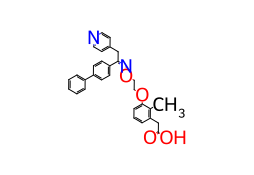 Cc1c(CC(=O)O)cccc1OCCON=C(Cc1ccncc1)c1ccc(-c2ccccc2)cc1